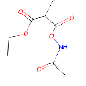 CCOC(=O)C(CC)C(=O)ONC(C)=O